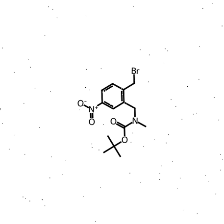 CN(Cc1cc([N+](=O)[O-])ccc1CBr)C(=O)OC(C)(C)C